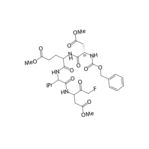 COC(=O)CCC(NC(=O)[C@H](CC(=O)OC)NC(=O)OCc1ccccc1)C(=O)NC(C(=O)NC(CC(=O)OC)C(=O)CF)C(C)C